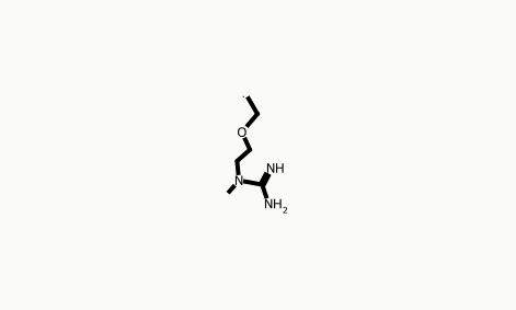 [CH2]COCCN(C)C(=N)N